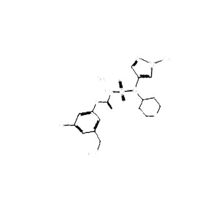 CCc1cc(Cl)cc(NC(=O)NS(=O)(=O)N(c2cnn(C)c2)C2CCOCC2)c1.[Na]